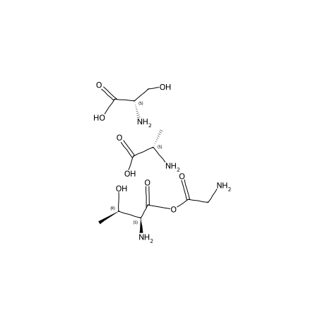 C[C@@H](O)[C@H](N)C(=O)OC(=O)CN.C[C@H](N)C(=O)O.N[C@@H](CO)C(=O)O